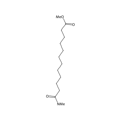 CNC(=O)CCCCCCCCCCC(=O)OC